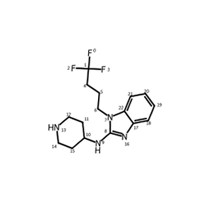 FC(F)(F)CCCn1c(NC2CCNCC2)nc2ccccc21